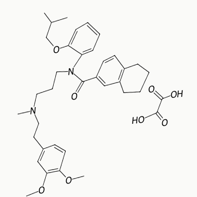 COc1ccc(CCN(C)CCCN(C(=O)c2ccc3c(c2)CCCC3)c2ccccc2OCC(C)C)cc1OC.O=C(O)C(=O)O